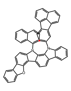 c1ccc2c(-n3c4ccc5c6ccccc6oc5c4c4ccc5c6ccccc6n(-c6ccc7c(c6)-c6cccc8cccc-7c68)c5c43)cccc2c1